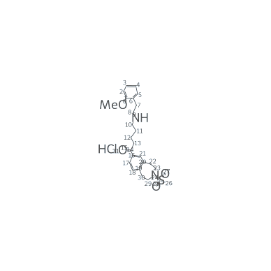 COc1ccccc1CCNCCCCC(=O)c1ccc2c(c1)CCN(S(C)(=O)=O)CC2.Cl